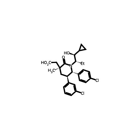 CC[C@@H]([C@@H](O)C1CC1)N1C(=O)[C@](C)(CC(=O)O)C[C@H](c2cccc(Cl)c2)[C@H]1c1ccc(Cl)cc1